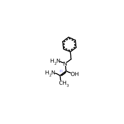 C/C(N)=C(\O)N(N)Cc1ccccc1